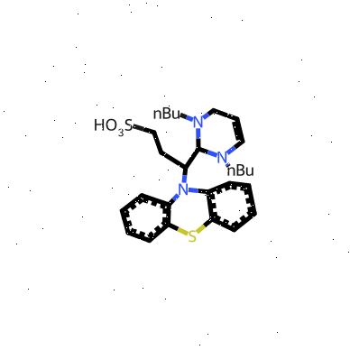 CCCCN1C=CCN(CCCC)C1C(CCS(=O)(=O)O)N1c2ccccc2Sc2ccccc21